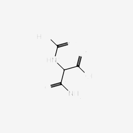 CC(=O)NC(C(N)=O)C(=O)O